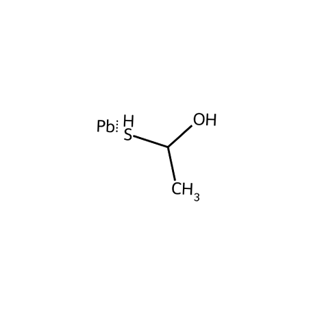 CC(O)S.[Pb]